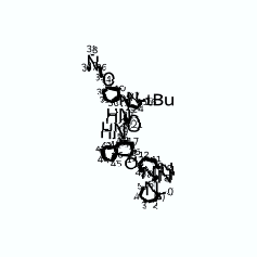 C[C@H]1CCCCN1c1nnc2ccc(OC3CC[C@H](NC(=O)Nc4cc(C(C)(C)C)nn4-c4cccc(OCCN(C)C)c4)c4ccccc43)cn12